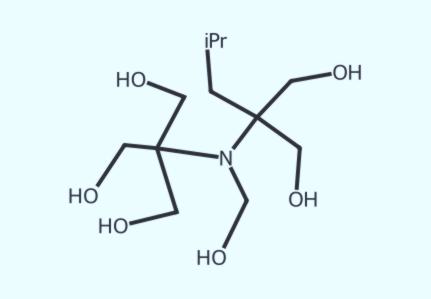 CC(C)CC(CO)(CO)N(CO)C(CO)(CO)CO